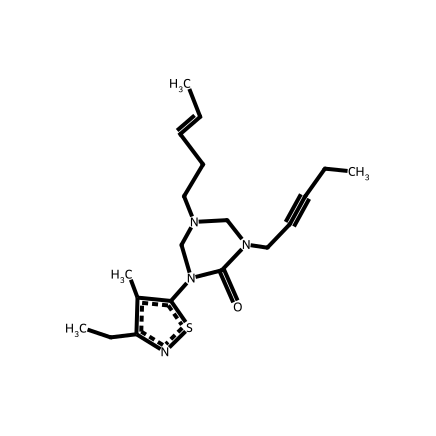 CC=CCCN1CN(CC#CCC)C(=O)N(c2snc(CC)c2C)C1